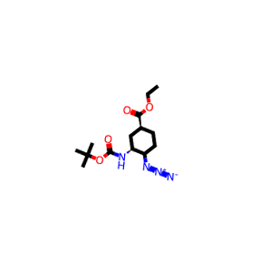 CCOC(=O)[C@H]1CCC(N=[N+]=[N-])[C@H](NC(=O)OC(C)(C)C)C1